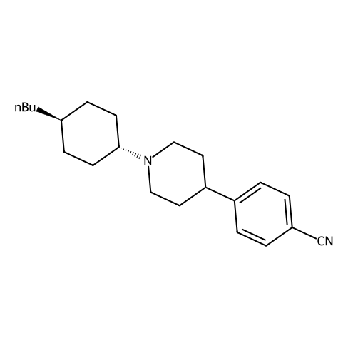 CCCC[C@H]1CC[C@H](N2CCC(c3ccc(C#N)cc3)CC2)CC1